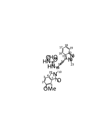 COc1ccc2c(c1)C(=O)N(C[C@@H](C#Cc1c3ccccc3nn1C)NC(=O)NC=O)C2